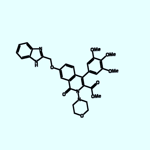 COC(=O)c1c(-c2cc(OC)c(OC)c(OC)c2)c2ccc(OCc3nc4ccccc4[nH]3)cc2c(=O)n1N1CCOCC1